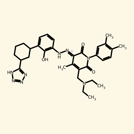 CCN(CC)CC1=C(C)/C(=N\Nc2cccc(C3CCCC(c4nnn[nH]4)C3)c2O)C(=O)N(c2ccc(C)c(C)c2)C1=O